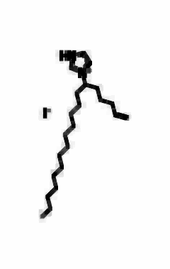 C=CCCCC(CCCCCCCCCCCCC)[n+]1cc[nH]c1.[I-]